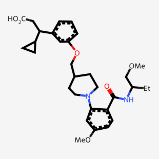 CCC(COC)NC(=O)c1ccc(OC)cc1N1CCC(COc2cccc(C(CC(=O)O)C3CC3)c2)CC1